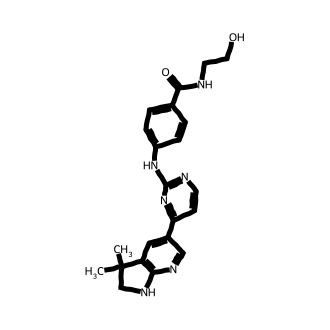 CC1(C)CNc2ncc(-c3ccnc(Nc4ccc(C(=O)NCCO)cc4)n3)cc21